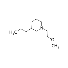 [CH2]CCC1CCCN(CCOC)C1